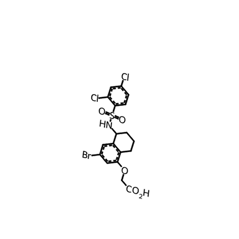 O=C(O)COc1cc(Br)cc2c1CCCC2NS(=O)(=O)c1ccc(Cl)cc1Cl